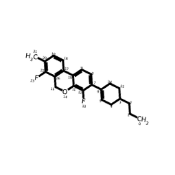 CCCC1CC=C(c2ccc3c(c2F)OCc2c-3ccc(C)c2F)CC1